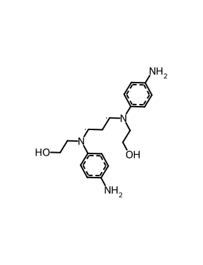 Nc1ccc(N([CH]C[CH]N(CCO)c2ccc(N)cc2)CCO)cc1